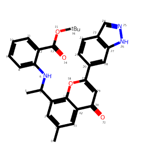 Cc1cc(C(C)Nc2ccccc2C(=O)OC(C)(C)C)c2oc(-c3ccc4cn[nH]c4c3)cc(=O)c2c1